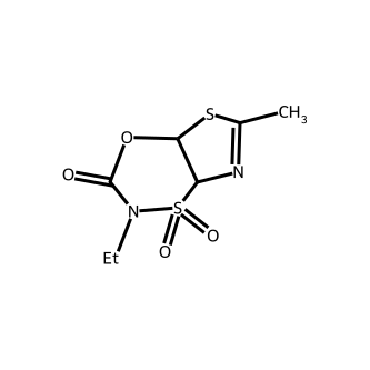 CCN1C(=O)OC2SC(C)=NC2S1(=O)=O